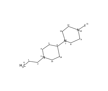 CCCN1CCC(N2CCN(I)CC2)CC1